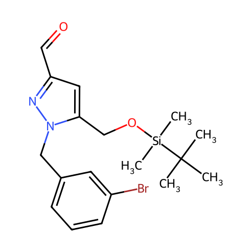 CC(C)(C)[Si](C)(C)OCc1cc(C=O)nn1Cc1cccc(Br)c1